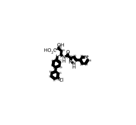 O=C(N[C@H](Cc1ccc(-c2cccc(Cl)c2)cc1)C[C@@H](O)C(=O)O)c1cc(-c2cccnc2)[nH]n1